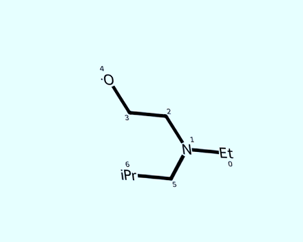 CCN(CC[O])CC(C)C